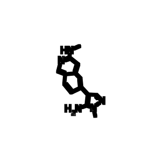 CNc1cc2cc(-c3cnn(C)c3N)ccc2cn1